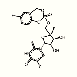 O=c1[nH]c(=S)n([C@@H]2O[C@](F)(COP3(=O)OCc4cc(F)ccc4O3)[C@@H](O)[C@H]2O)cc1Cl